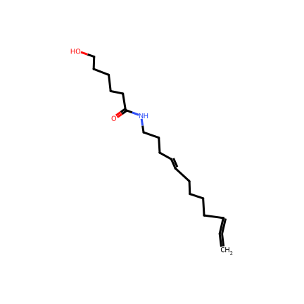 C=C=CCCCC/C=C/CCCNC(=O)CCCCCO